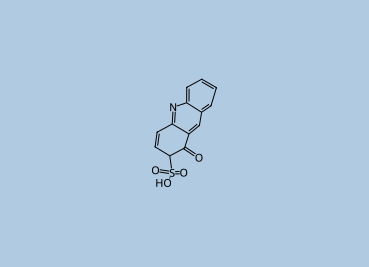 O=C1c2cc3ccccc3nc2C=CC1S(=O)(=O)O